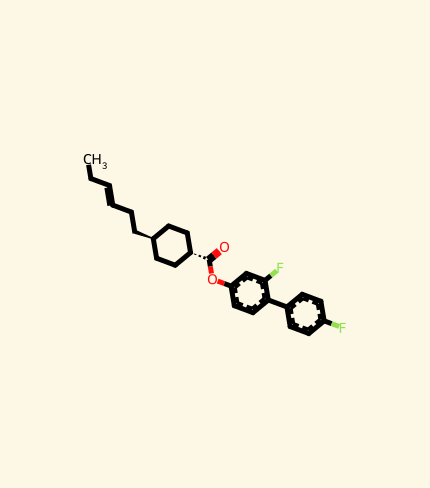 CCC=CCC[C@H]1CC[C@H](C(=O)Oc2ccc(-c3ccc(F)cc3)c(F)c2)CC1